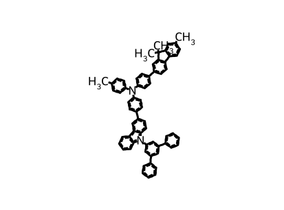 Cc1ccc(N(c2ccc(-c3ccc4c(c3)C(C)(C)c3cc(C)ccc3-4)cc2)c2ccc(-c3ccc4c(c3)c3ccccc3n4-c3cc(-c4ccccc4)cc(-c4ccccc4)c3)cc2)cc1